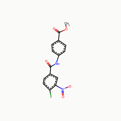 COC(=O)c1ccc(NC(=O)c2ccc(F)c([N+](=O)[O-])c2)cc1